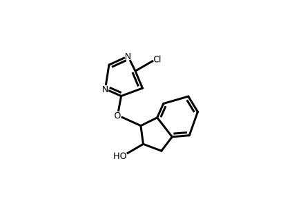 OC1Cc2ccccc2C1Oc1cc(Cl)ncn1